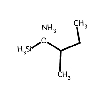 CCC(C)O[SiH3].N